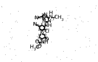 CCNc1nc(Nc2cc(C#N)cc(N3CC[C@@H](NC(=O)OC)C(=O)C3)c2Cl)nn2c(C#N)cnc12